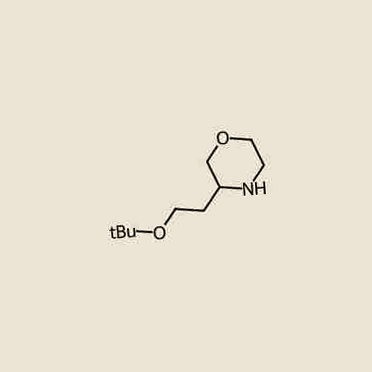 CC(C)(C)OCCC1COCCN1